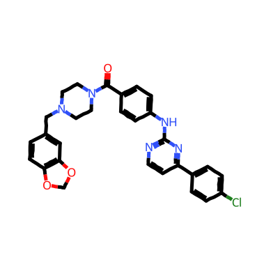 O=C(c1ccc(Nc2nccc(-c3ccc(Cl)cc3)n2)cc1)N1CCN(Cc2ccc3c(c2)OCO3)CC1